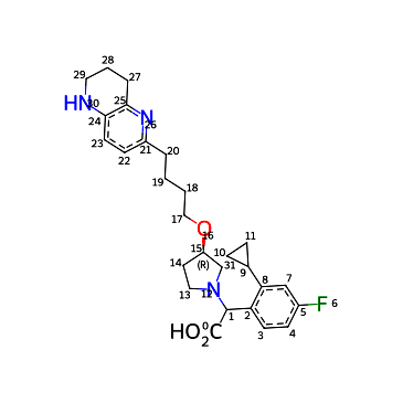 O=C(O)C(c1ccc(F)cc1C1CC1)N1CC[C@@H](OCCCCc2ccc3c(n2)CCCN3)C1